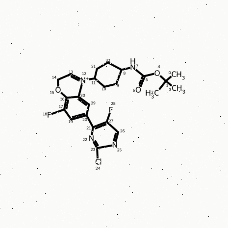 CC(C)(C)OC(=O)NC1CCC([N+]2=CCOc3c(F)cc(-c4nc(Cl)ncc4F)cc32)CC1